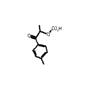 Cc1ccc(C(=O)C(C)OC(=O)O)cc1